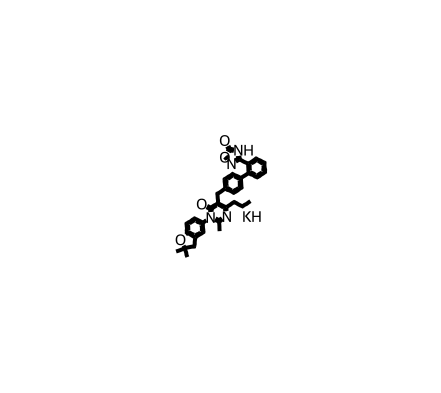 CCCc1nc(C)n(-c2ccc3c(c2)CC(C)(C)O3)c(=O)c1Cc1ccc(-c2ccccc2-c2noc(=O)[nH]2)cc1.[KH]